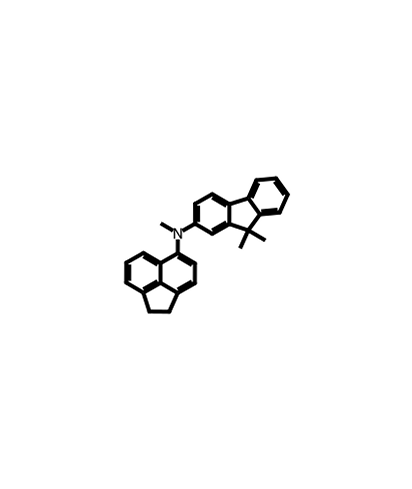 CN(c1ccc2c(c1)C(C)(C)c1ccccc1-2)c1ccc2c3c(cccc13)CC2